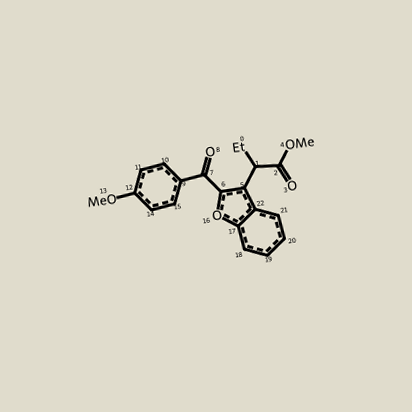 CCC(C(=O)OC)c1c(C(=O)c2ccc(OC)cc2)oc2ccccc12